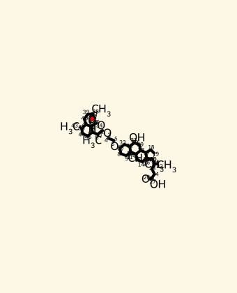 C[C@H]1C(OCCO[C@@H]2CC[C@]3(C)C4CC[C@@]5(C)C(CC[C@@H]5[C@H](C)CCC(=O)O)C4C[C@H](O)C3C2)OC2O[C@]3(C)CCC4[C@H](C)CCC1[C@@]24OP3